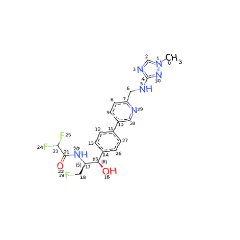 Cn1cnc(NCc2ccc(-c3ccc([C@@H](O)[C@@H](CF)NC(=O)C(F)F)cc3)cn2)n1